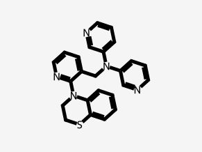 c1cncc(N(Cc2cccnc2N2CCSc3ccccc32)c2cccnc2)c1